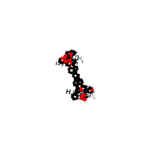 Cc1cc(-c2ccc3c4cc5c(cc4c4ccc(-c6cc(C)c7c(c6)C6(C)CCCCC6(C)N7c6ccccc6)c2c34)c2ccc(-c3cc(C)c4c(c3)C3(C)CCCCC3(C)N4c3ccccc3)c3c(-c4cc(C)c6c(c4)C4(C)CCCCC4(C)N6c4ccccc4)ccc5c32)cc2c1N(c1ccccc1)C1(C)CCCCC21C